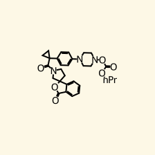 CCCOC(=O)ON1CCN(c2ccc(C3(C(=O)N4CCC5(C4)OC(=O)c4ccccc45)CC3)cc2)CC1